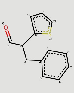 O=CC(Cc1ccccc1)c1cccs1